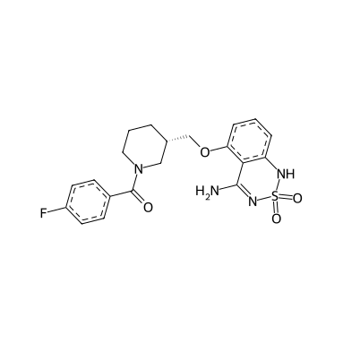 NC1=NS(=O)(=O)Nc2cccc(OC[C@H]3CCCN(C(=O)c4ccc(F)cc4)C3)c21